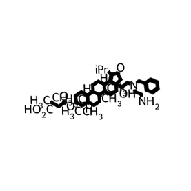 CC(C)C1=C2[C@H]3CC[C@@H]4[C@@]5(C)CC[C@H](OC(=O)CC(C)(C)C(=O)O)C(C)(C)[C@@H]5CC[C@@]4(C)[C@]3(C)CCC2(C(O)CN(CCN)Cc2ccccc2)CC1=O